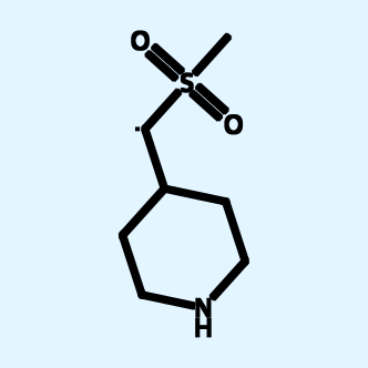 CS(=O)(=O)[CH]C1CCNCC1